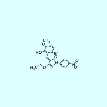 CCOC1=NN(c2ccc([N+](=O)[O-])cc2)C(=O)C1=Cc1c(Br)ccc(OC)c1O